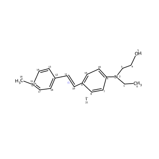 CCN(CCO)c1ccc(/C=C/c2cc[n+](C)cc2)cc1.[I-]